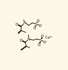 C=C(C)C(=O)N(C)CCS(=O)(=O)[O-].C=C(C)C(=O)N(C)CCS(=O)(=O)[O-].[Ca+2]